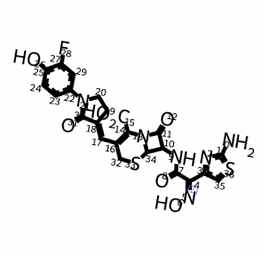 Nc1nc(/C(=N/O)C(=O)NC2C(=O)N3C(C(=O)O)=C(C=C4CCN(c5ccc(O)c(F)c5)C4=O)CSC23)cs1